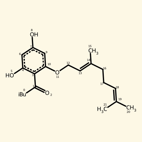 CCC(C)C(=O)c1c(O)cc(O)cc1OC/C=C(\C)CCC=C(C)C